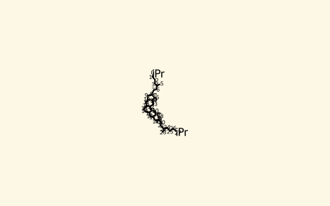 CC(C)CCCC(C)CCc1cc2cc3ccc4cc5cc(CCC(C)CCCC(C)C)sc5cc4c3cc2s1